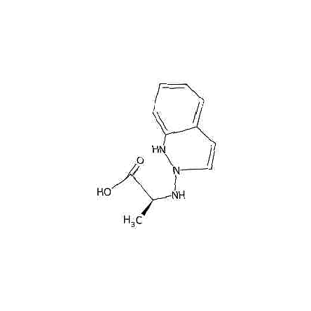 C[C@H](NN1C=Cc2ccccc2N1)C(=O)O